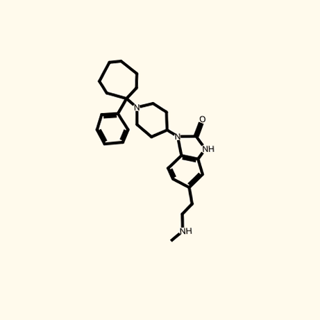 CNCCc1ccc2c(c1)[nH]c(=O)n2C1CCN(C2(c3ccccc3)CCCCCC2)CC1